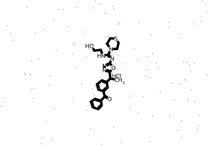 CC(c1cccc(C(=O)c2ccccc2)c1)c1nnc(/N=C(\NCCO)N2CCSCC2)o1.Cl